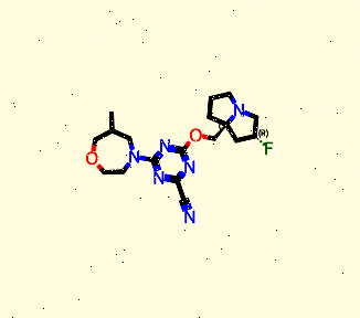 CC1COCCN(c2nc(C#N)nc(OC[C@@]34CCCN3C[C@H](F)C4)n2)C1